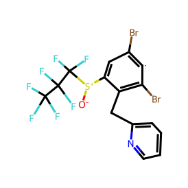 [O-][S+](c1cc(Br)[c]c(Br)c1Cc1ccccn1)C(F)(F)C(F)(F)C(F)(F)F